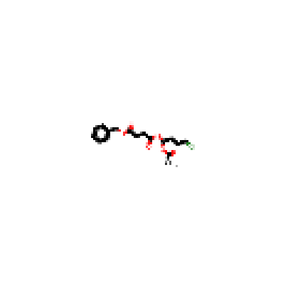 CC(=O)OC(CCCCl)OC(=O)CCC(=O)OCc1ccccc1